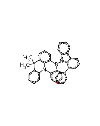 CC1(C)c2ccccc2N2c3ccccc3B(n3c4ccccc4c4cccc(-c5ccccc5)c43)c3cccc1c32